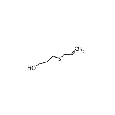 C=CCSCCCO